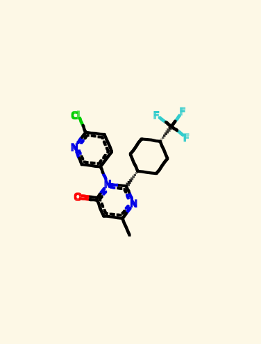 Cc1cc(=O)n(-c2ccc(Cl)nc2)c([C@H]2CC[C@@H](C(F)(F)F)CC2)n1